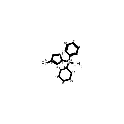 CCC1=C[C]([Si](C)(c2ccccc2)C2CCCCC2)C=C1